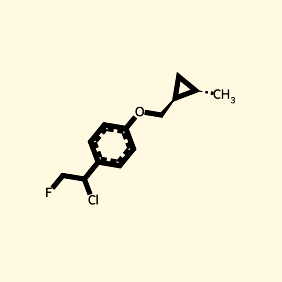 C[C@H]1C[C@@H]1COc1ccc(C(Cl)CF)cc1